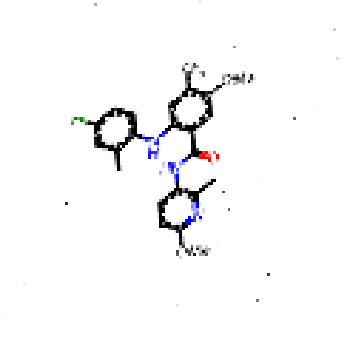 COc1ccc(NC(=O)c2cc(OC)c(C(F)(F)F)cc2Nc2ccc(F)cc2C)c(C)n1